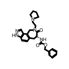 O=C(N[C@@H]1Cc2ccc3[nH]ncc3c2CN(CCN2CCCC2)C1=O)OCc1ccccc1